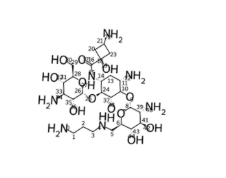 NCCCNC[C@H]1O[C@H](OC2[C@@H](N)C[C@@H](NC(=O)C3(O)CC(N)C3)[C@H](O[C@H]3O[C@H](CO)[C@@H](O)[C@H](N)[C@H]3O)[C@H]2O)[C@H](N)[C@@H](O)[C@@H]1O